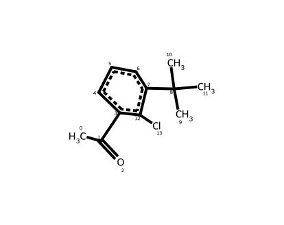 CC(=O)c1cccc(C(C)(C)C)c1Cl